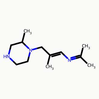 CC(C)=N/C=C(\C)CN1CCNCC1C